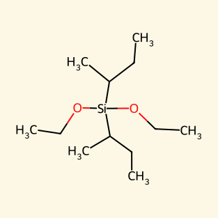 CCO[Si](OCC)(C(C)CC)C(C)CC